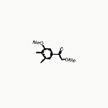 COCC(=O)c1cc(C)c(C)c(OC)c1